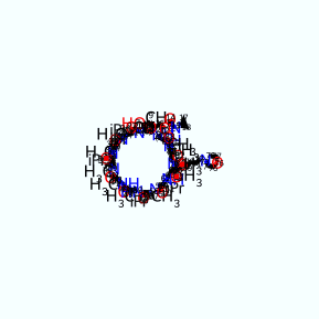 CC[C@@H]1NC(=O)[C@H]([C@H](O)[C@H](C)CCOC(=O)NC2CC2)N(C)C(=O)[C@H](C(C)C)N(C)C(=O)[C@H](CC(C)C)N(C)C(=O)[C@H](CC(C)C)N(C)C(=O)[C@@H](C)NC(=O)[C@H](C)NC(=O)[C@H](CC(C)C)N(C)C(=O)[C@H](C(C)C)NC(=O)[C@H]([C@@H](C)OCCCCN2CCOCC2)N(C)C(=O)[C@@H](C)N(C)C1=O